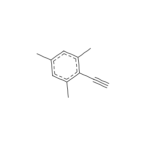 C#Cc1c(C)cc(C)cc1C